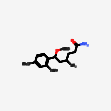 COc1ccc(C(CC(CCC(N)=O)[N+](=O)[O-])O[C]=O)c(OC)c1